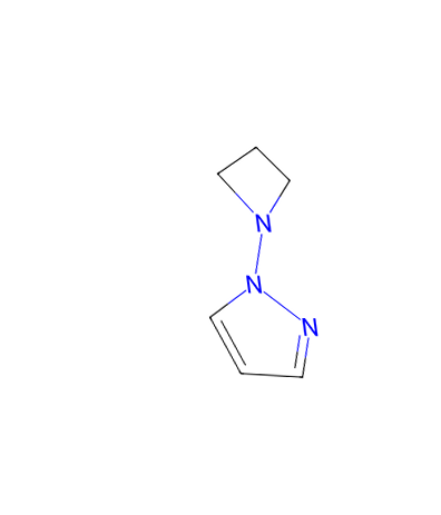 c1cnn(N2CCC2)c1